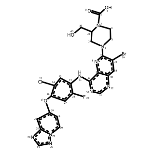 O=C(O)N1CCN(c2nc3c(Nc4cc(Cl)c(Oc5ccn6ncnc6c5)cc4F)ncnc3cc2Br)CC1CO